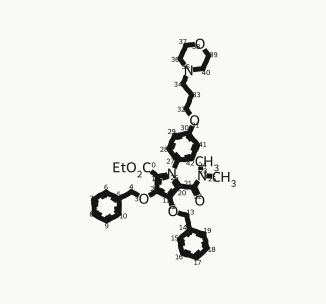 CCOC(=O)c1c(OCc2ccccc2)c(OCc2ccccc2)c(C(=O)N(C)C)n1-c1ccc(OCCCN2CCOCC2)cc1